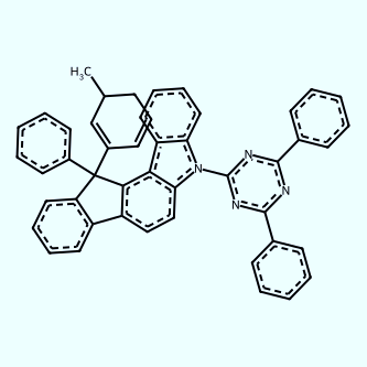 CC1C=C(C2(c3ccccc3)c3ccccc3-c3ccc4c(c32)c2ccccc2n4-c2nc(-c3ccccc3)nc(-c3ccccc3)n2)C=CC1